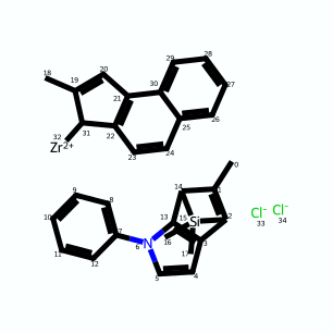 CC1=C2c3ccn(-c4ccccc4)c3C1[Si]2(C)C.CC1=Cc2c(ccc3ccccc23)[CH]1[Zr+2].[Cl-].[Cl-]